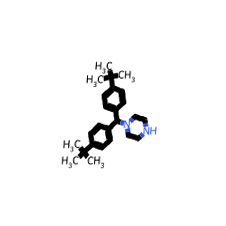 CC(C)(C)c1ccc(C(c2ccc(C(C)(C)C)cc2)N2CCNCC2)cc1